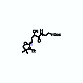 CCCCCCCCCCCCNC(=O)C(C#N)C/C=C1\OCC(C)(C)N1CC